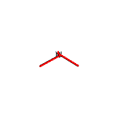 [CH2]CCc1nc(CCCCCCCCCCCCCCCCCCCCCCCCCCCC)cc(CCCCCCCCCCCCCCCCCCCCCCCCCCCC)n1